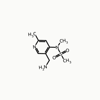 Cc1cc(N(C)S(C)(=O)=O)c(CN)cn1